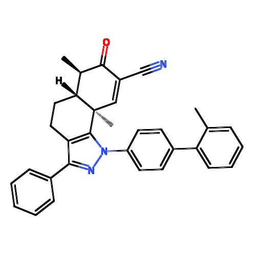 Cc1ccccc1-c1ccc(-n2nc(-c3ccccc3)c3c2[C@]2(C)C=C(C#N)C(=O)[C@H](C)[C@H]2CC3)cc1